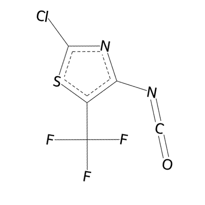 O=C=Nc1nc(Cl)sc1C(F)(F)F